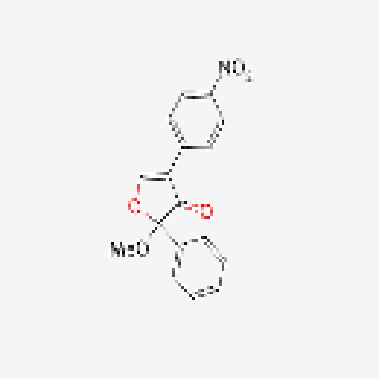 COC1(c2ccccc2)OC=C(c2ccc([N+](=O)[O-])cc2)C1=O